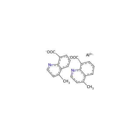 Cc1ccnc2c(C(=O)[O-])cccc12.Cc1ccnc2c(C(=O)[O-])cccc12.[Al+2]